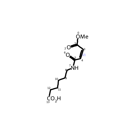 COC(=O)/C=C\C(=O)NCCCCCC(=O)O